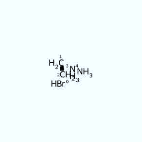 Br.C=C.N.N